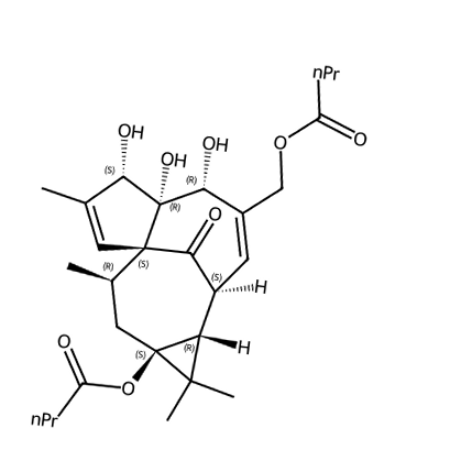 CCCC(=O)OCC1=C[C@@H]2C(=O)[C@]3(C=C(C)[C@H](O)[C@@]3(O)[C@@H]1O)[C@H](C)C[C@]1(OC(=O)CCC)[C@H]2C1(C)C